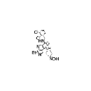 CCn1ncc2c(NC3CCC(=NO)CC3)c(C(=O)NCc3cccc(Cl)c3Cl)cnc21